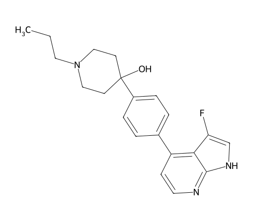 CCCN1CCC(O)(c2ccc(-c3ccnc4[nH]cc(F)c34)cc2)CC1